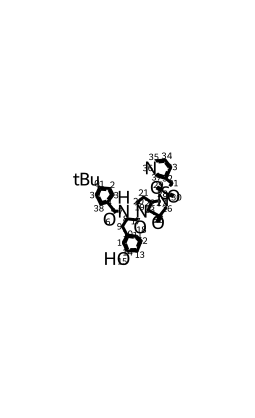 CC(C)(C)c1ccc(C(=O)NC(Cc2cccc(O)c2)C(=O)N2CCC3C2C(=O)CN3S(=O)(=O)Cc2cccnc2)cc1